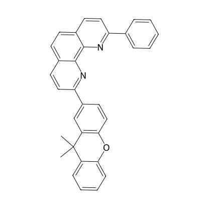 CC1(C)c2ccccc2Oc2ccc(-c3ccc4ccc5ccc(-c6ccccc6)nc5c4n3)cc21